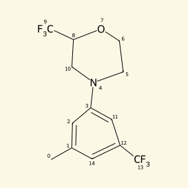 Cc1cc(N2CCOC(C(F)(F)F)C2)cc(C(F)(F)F)c1